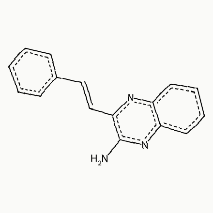 Nc1nc2ccccc2nc1C=Cc1ccccc1